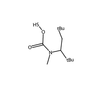 CN(C(=O)OS)C(CC(C)(C)C)C(C)(C)C